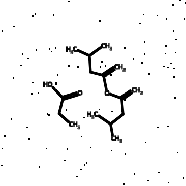 C=C(CC(C)C)OC(=C)CC(C)C.CCC(=O)O